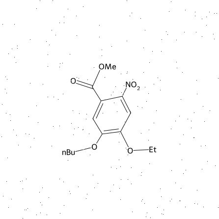 CCCCOc1cc(C(=O)OC)c([N+](=O)[O-])cc1OCC